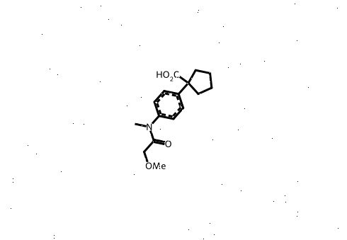 COCC(=O)N(C)c1ccc(C2(C(=O)O)CCCC2)cc1